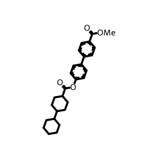 COC(=O)c1ccc(-c2ccc(OC(=O)C3CCC(C4CCCCC4)CC3)cc2)cc1